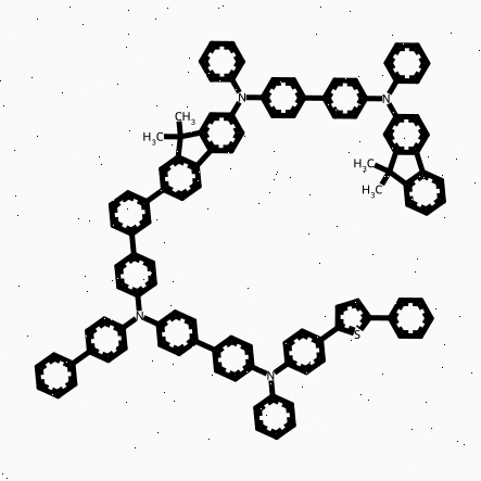 CC1(C)c2ccccc2-c2ccc(N(c3ccccc3)c3ccc(-c4ccc(N(c5ccccc5)c5ccc6c(c5)C(C)(C)c5cc(-c7cccc(-c8ccc(N(c9ccc(-c%10ccccc%10)cc9)c9ccc(-c%10ccc(N(c%11ccccc%11)c%11ccc(-c%12ccc(-c%13ccccc%13)s%12)cc%11)cc%10)cc9)cc8)c7)ccc5-6)cc4)cc3)cc21